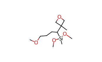 COCCCC(C1(C)COC1)[Si](C)(OC)OC